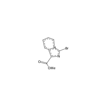 COC(=O)c1nc(Br)n2ccccc12